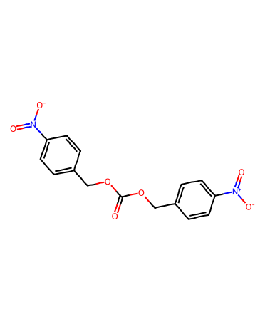 O=C(OCc1ccc([N+](=O)[O-])cc1)OCc1ccc([N+](=O)[O-])cc1